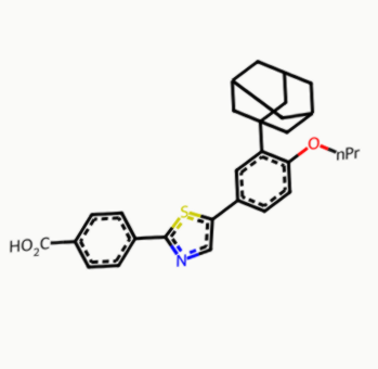 CCCOc1ccc(-c2cnc(-c3ccc(C(=O)O)cc3)s2)cc1C12CC3CC(CC(C3)C1)C2